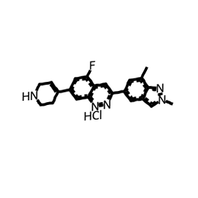 Cc1cc(-c2cc3c(F)cc(C4=CCNCC4)cc3nn2)cc2cn(C)nc12.Cl